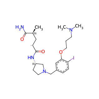 C[C@@H](C[CH]C(=O)N[C@H]1CCN(Cc2ccc(I)c(OCCCN(C)C)c2)C1)C(N)=O